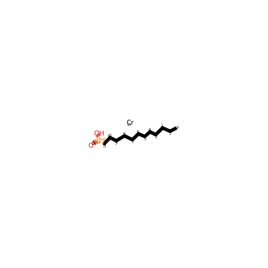 CCCCCCCCCCCC[PH](=O)O.[Cr]